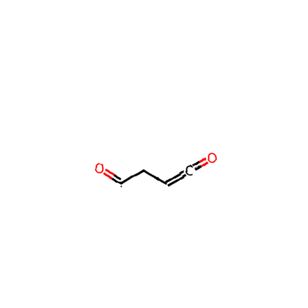 O=[C]CC=C=O